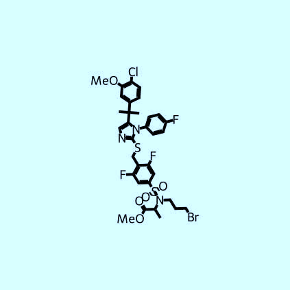 COC(=O)C(C)N(CCCBr)S(=O)(=O)c1cc(F)c(CSc2ncc(C(C)(C)c3ccc(Cl)c(OC)c3)n2-c2ccc(F)cc2)c(F)c1